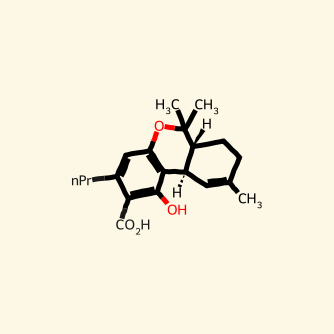 CCCc1cc2c(c(O)c1C(=O)O)[C@@H]1C=C(C)CC[C@H]1C(C)(C)O2